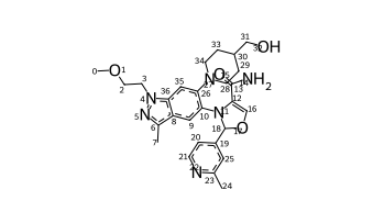 COCCn1nc(C)c2cc(N3C(C(N)=O)=COC3c3ccnc(C)c3)c(N3CCC(CO)CC3)cc21